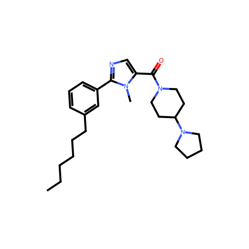 CCCCCCc1cccc(-c2ncc(C(=O)N3CCC(N4CCCC4)CC3)n2C)c1